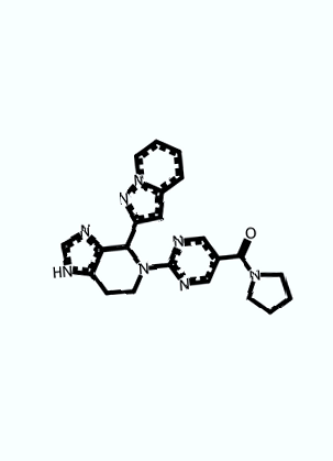 O=C(c1cnc(N2CCc3[nH]cnc3C2c2cc3ccccn3n2)nc1)N1CCCC1